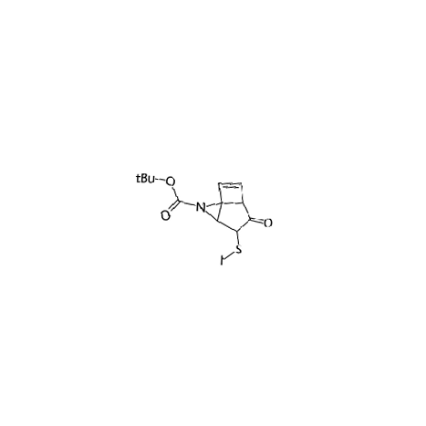 CC(C)(C)OC(=O)N1C2C(SI)C(=O)C3C=CC321